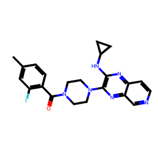 Cc1ccc(C(=O)N2CCN(c3nc4cnccc4nc3NC3CC3)CC2)c(F)c1